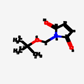 CC(C)(C)OCN1C(=O)C=CC1=O